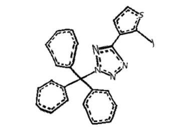 Ic1sccc1-c1nnn(C(c2ccccc2)(c2ccccc2)c2ccccc2)n1